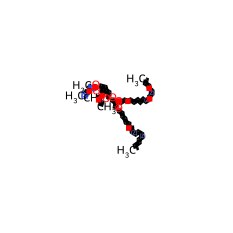 CC/C=C\CC1C(CC(=O)OCC(COCCCCCCCC/C=C\C/C=C\CCCCC)OCCCCCCCC/C=C\C/C=C\CCCCC)CCC1OC(=O)N(C)CCN(C)C